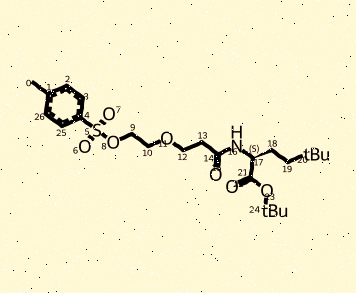 Cc1ccc(S(=O)(=O)OCCOCCC(=O)N[C@@H](CCC(C)(C)C)C(=O)OC(C)(C)C)cc1